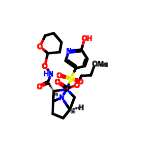 COCCOC(=O)N1C2CC[C@@H]1CN(S(=O)(=O)c1ccc(O)nc1)[C@H]2C(=O)NOC1CCCCO1